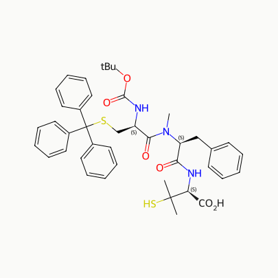 CN(C(=O)[C@@H](CSC(c1ccccc1)(c1ccccc1)c1ccccc1)NC(=O)OC(C)(C)C)[C@@H](Cc1ccccc1)C(=O)N[C@@H](C(=O)O)C(C)(C)S